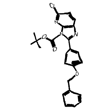 CC(C)(C)OC(=O)n1c(-c2ccc(OCc3ccccc3)cc2)nc2ccc(Cl)nc21